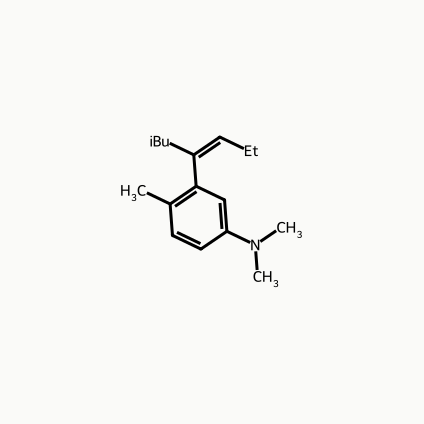 CC/C=C(\c1cc(N(C)C)ccc1C)C(C)CC